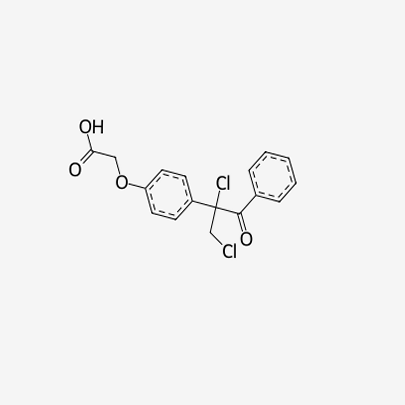 O=C(O)COc1ccc(C(Cl)(CCl)C(=O)c2ccccc2)cc1